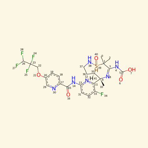 CC1(C)C(NC(=O)O)=N[C@](C)(c2nc(NC(=O)c3ccc(OCC(F)(F)C(F)F)cn3)ccc2F)[C@H]2CCN[SH]21=O